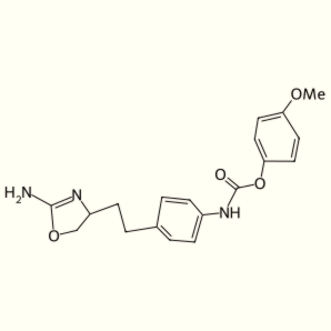 COc1ccc(OC(=O)Nc2ccc(CCC3COC(N)=N3)cc2)cc1